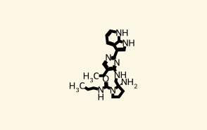 CCCNC(=O)N1CCC[C@]1(N)CNc1nc(C2=CNC3NC=CC=C23)ncc1CC